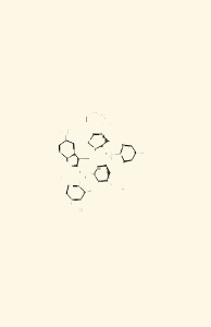 Cc1cc(C(C)(C)C)cc(C)c1N1c2cc3c(cc2B2c4c1cc(C(C)(C)C)cc4N(c1c(C)cc(C(C)(C)C)cc1C)c1oc4ccc(C(C)(C)C)cc4c12)OCCCO3